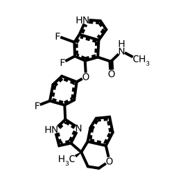 CNC(=O)c1c(Oc2ccc(F)c(-c3nc([C@@]4(C)CCOc5ccccc54)c[nH]3)c2)c(F)c(F)c2[nH]ccc12